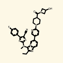 CCc1nc2ccc(-c3ccc(N4CCC(C(=O)N5CC(O)C5)CC4)nc3)cn2c1N(C)c1nc(-c2ccc(F)cc2)c(C#N)s1